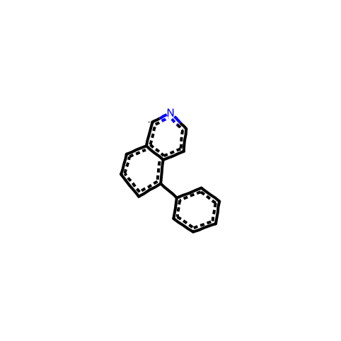 [c]1nccc2c(-c3ccccc3)cccc12